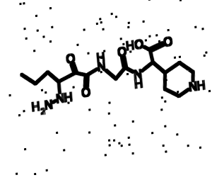 CCCC(NN)C(=O)C(=O)NCC(=O)NC(C(=O)O)C1CCNCC1